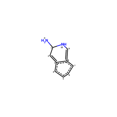 NC1C=c2ccccc2=CN1